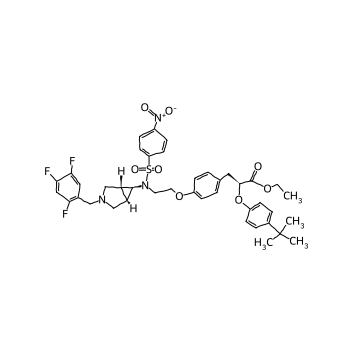 CCOC(=O)[C@H](Cc1ccc(OCCN([C@H]2[C@@H]3CN(Cc4cc(F)c(F)cc4F)C[C@@H]32)S(=O)(=O)c2ccc([N+](=O)[O-])cc2)cc1)Oc1ccc(C(C)(C)C)cc1